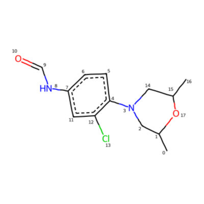 CC1CN(c2ccc(NC=O)cc2Cl)CC(C)O1